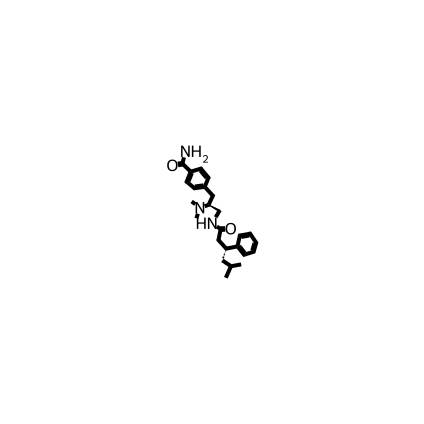 CC(C)C[C@H](CC(=O)NC[C@H](Cc1ccc(C(N)=O)cc1)N(C)C)c1ccccc1